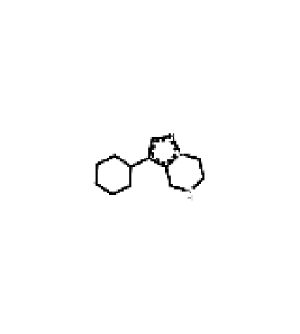 c1nn2c(c1C1CCCCC1)CNCC2